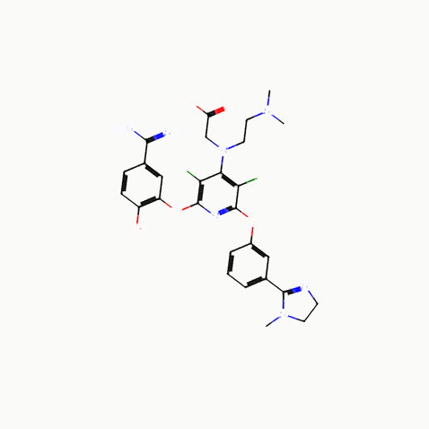 CN(C)CCN(CC(=O)O)c1c(F)c(Oc2cccc(C3=NCCN3C)c2)nc(Oc2cc(C(=N)N)ccc2O)c1F